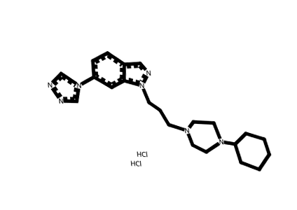 Cl.Cl.c1cc2cnn(CCCN3CCN(C4CCCCC4)CC3)c2cc1-n1cnnc1